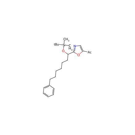 CC(=O)c1cnc(C(CCCCCCc2ccccc2)O[Si](C)(C)C(C)(C)C)o1